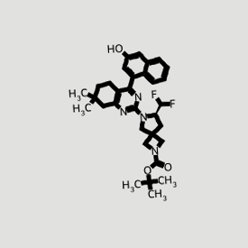 CC1(C)CCc2c(nc(N3CC4(C[C@@H]3C(F)F)CN(C(=O)OC(C)(C)C)C4)nc2-c2cc(O)cc3ccccc23)C1